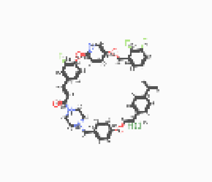 CC(C)c1ccc(CCOc2ccc(CN3CCN(C(=O)C=Cc4ccc(Oc5ccc(OCc6cccc(F)c6F)cn5)c(F)c4)CC3)cc2)cc1.Cl